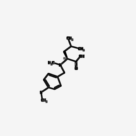 CSc1ccc(CN(C)[C@@H](CC(C)C)C(=O)O)cc1